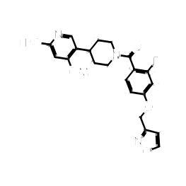 COc1cc(C)ncc1C1CCN(C(=O)c2ccc(OCc3ccon3)cc2F)CC1